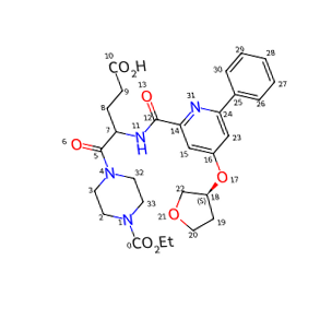 CCOC(=O)N1CCN(C(=O)C(CCC(=O)O)NC(=O)c2cc(O[C@H]3CCOC3)cc(-c3ccccc3)n2)CC1